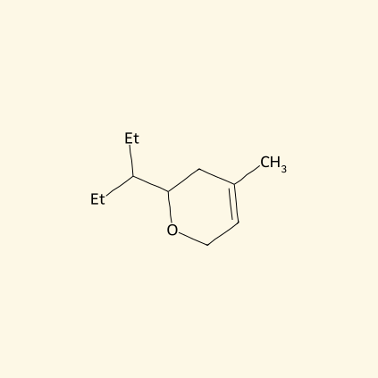 CCC(CC)C1CC(C)=CCO1